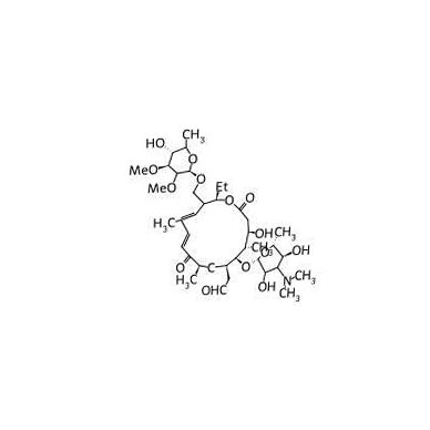 CC[C@H]1OC(=O)C[C@@H](O)[C@H](C)[C@@H](O[C@@H]2O[C@H](C)[C@@H](O)C(N(C)C)C2O)[C@@H](CC=O)C[C@@H](C)C(=O)/C=C/C(C)=C/C1CO[C@@H]1OC(C)[C@@H](O)[C@H](OC)C1OC